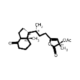 CC(=O)O[C@]1(C)C=C(CC[C@@H](C)[C@H]2CCC3C(=O)CCC[C@]32C)OC1=O